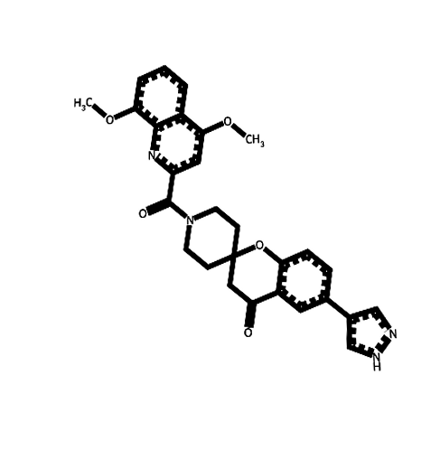 COc1cc(C(=O)N2CCC3(CC2)CC(=O)c2cc(-c4cn[nH]c4)ccc2O3)nc2c(OC)cccc12